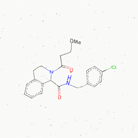 COCCC(=O)N1CCc2c[c]ccc2C1C(=O)NCc1ccc(Cl)cc1